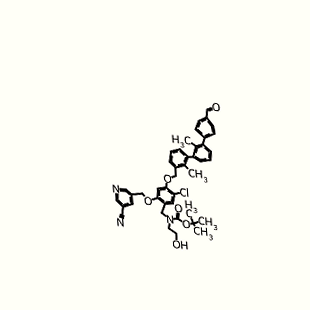 Cc1c(COc2cc(OCc3cncc(C#N)c3)c(CN(CCO)C(=O)OC(C)(C)C)cc2Cl)cccc1-c1cccc(-c2ccc(C=O)cc2)c1C